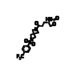 O=C1N[C@H](CCC(=O)N2CC3(C2)CN(S(=O)(=O)c2ccc(C(F)(F)F)cc2)C3)CO1